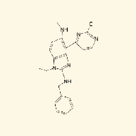 CCn1c(NCc2ccccc2)nc2c(-c3ccnc(Cl)n3)c(NC)ccc21